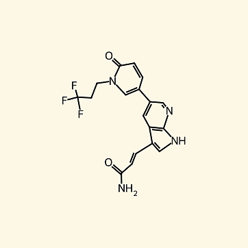 NC(=O)/C=C/c1c[nH]c2ncc(-c3ccc(=O)n(CCC(F)(F)F)c3)cc12